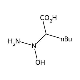 CCCCC(C(=O)O)N(N)O